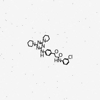 O=C(CC(=O)c1ccc(Nc2nc(N3CCCCC3)nc(N3CCCCC3)n2)cc1)Nc1cccc(Cl)c1